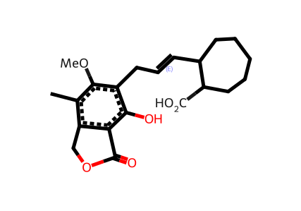 COc1c(C)c2c(c(O)c1C/C=C/C1CCCCCC1C(=O)O)C(=O)OC2